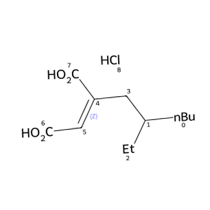 CCCCC(CC)C/C(=C/C(=O)O)C(=O)O.Cl